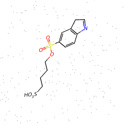 O=S(=O)(O)CCCCOS(=O)(=O)c1ccc2c(c1)CC=N2